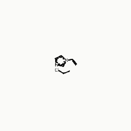 C=Cn1ccnc1.CCCl